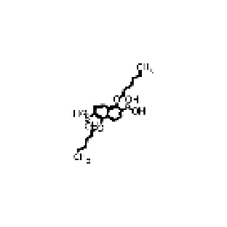 CCCCCCOc1c(B(O)O)ccc2c(OCCCCCC)c(B(O)O)ccc12